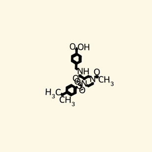 CC(=O)N1CCN(S(=O)(=O)c2ccc(C(C)C)cc2)C(C(=O)NCc2ccc(C(=O)O)cc2)C1